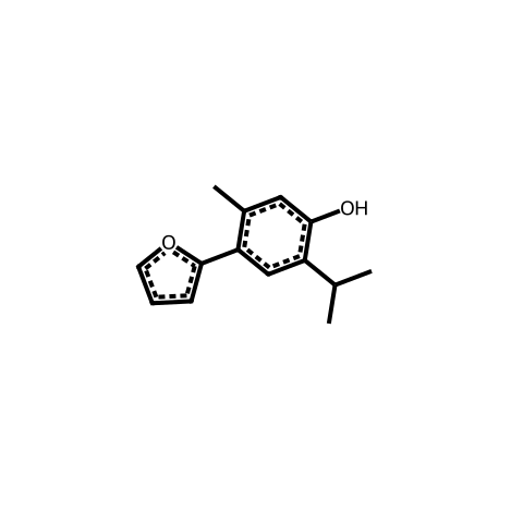 Cc1cc(O)c(C(C)C)cc1-c1ccco1